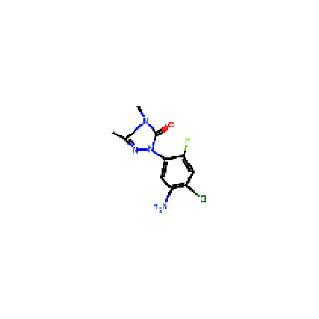 Cc1nn(-c2cc(N)c(Cl)cc2F)c(=O)n1C